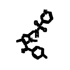 Cc1ccc(C(=S)c2c(C)cc(CNS(=O)(=O)c3cccnc3)n2C)cc1